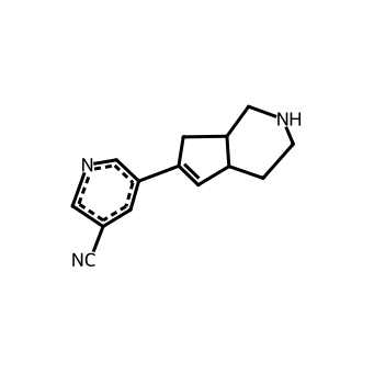 N#Cc1cncc(C2=CC3CCNCC3C2)c1